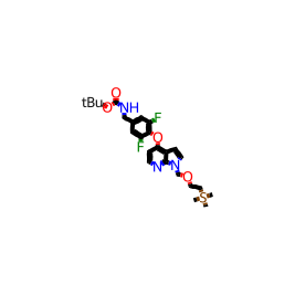 CC(C)(C)OC(=O)NCc1cc(F)c(Oc2ccnc3c2ccn3COCCS(C)(C)C)c(F)c1